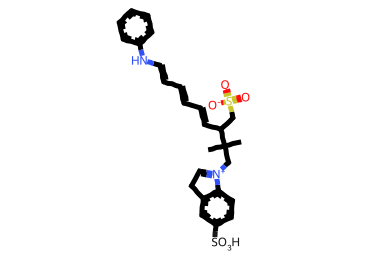 CC(C)(C[N+]1=CCc2cc(S(=O)(=O)O)ccc21)C(C=CC=CC=CNc1ccccc1)CS(=O)(=O)[O-]